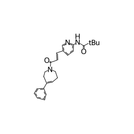 CC(C)(C)C(=O)Nc1ccc(/C=C/C(=O)N2CCC=C(c3ccccc3)CC2)cn1